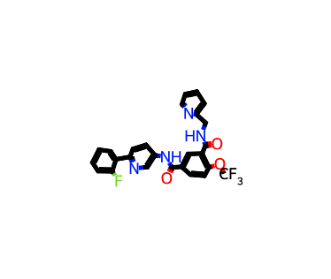 O=C(Nc1ccc(-c2ccccc2F)nc1)c1ccc(OC(F)(F)F)c(C(=O)NCc2ccccn2)c1